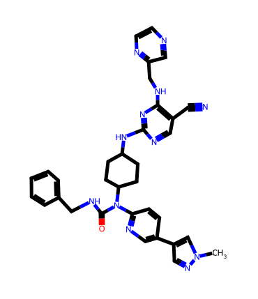 Cn1cc(-c2ccc(N(C(=O)NCc3ccccc3)C3CCC(Nc4ncc(C#N)c(NCc5cnccn5)n4)CC3)nc2)cn1